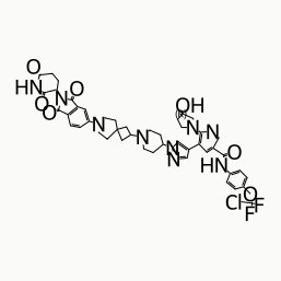 O=C1CCC(N2C(=O)c3ccc(N4CCC5(CC4)CC(N4CCC(n6cc(-c7cc(C(=O)Nc8ccc(OC(F)(F)Cl)cc8)cnc7N7CC[C@@H](O)C7)cn6)CC4)C5)cc3C2=O)C(=O)N1